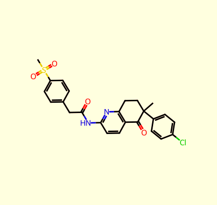 CC1(c2ccc(Cl)cc2)CCc2nc(NC(=O)Cc3ccc(S(C)(=O)=O)cc3)ccc2C1=O